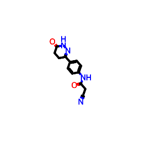 N#CCC(=O)Nc1ccc(C2=NNC(=O)CC2)cc1